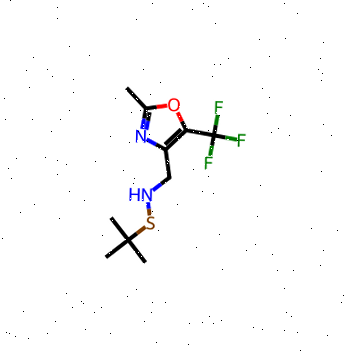 Cc1nc(CNSC(C)(C)C)c(C(F)(F)F)o1